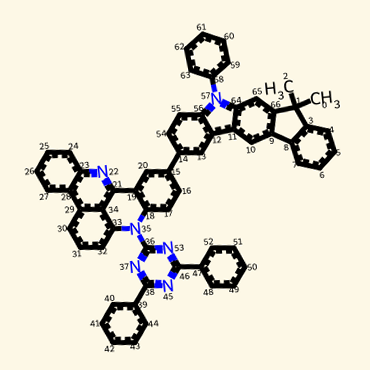 CC1(C)c2ccccc2-c2cc3c4cc(-c5ccc6c(c5)-c5nc7ccccc7c7cccc(c57)N6c5nc(-c6ccccc6)nc(-c6ccccc6)n5)ccc4n(-c4ccccc4)c3cc21